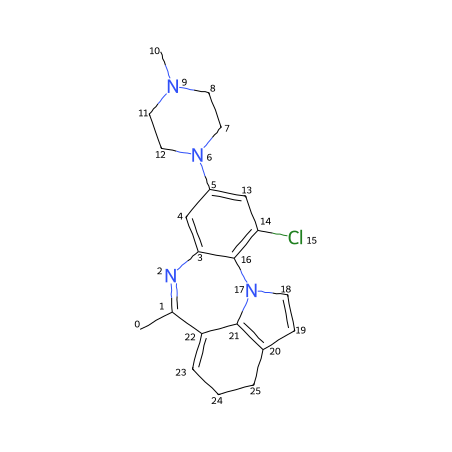 CC1=Nc2cc(N3CCN(C)CC3)cc(Cl)c2-n2ccc3c2C1=CCC3